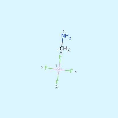 F[B-](F)(F)F.[CH2]N